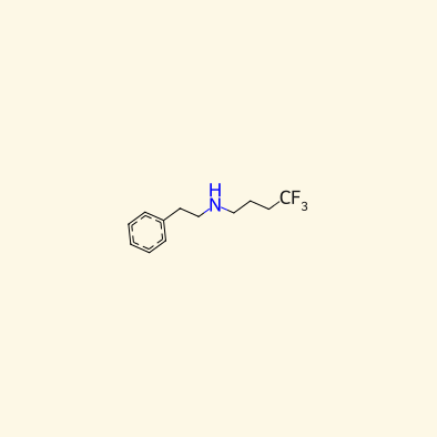 FC(F)(F)CCCNCCc1ccccc1